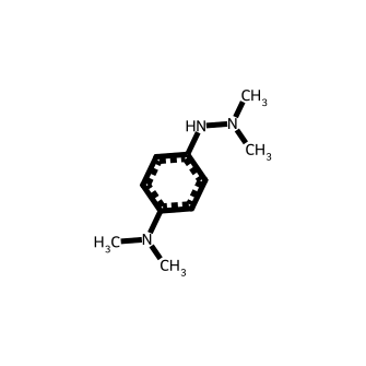 CN(C)Nc1ccc(N(C)C)cc1